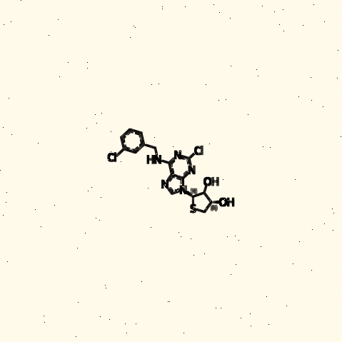 OC1[C@H](n2cnc3c(NCc4cccc(Cl)c4)nc(Cl)nc32)SC[C@@H]1O